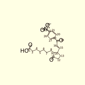 O=C(O)CCCCCCC1C(=O)CCC1/C=C/C(=O)c1ccc([N+](=O)[O-])cc1